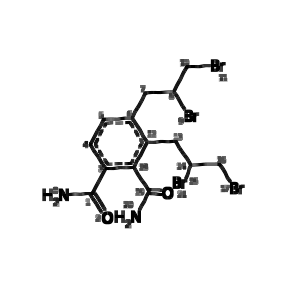 NC(=O)c1ccc(CC(Br)CBr)c(CC(Br)CBr)c1C(N)=O